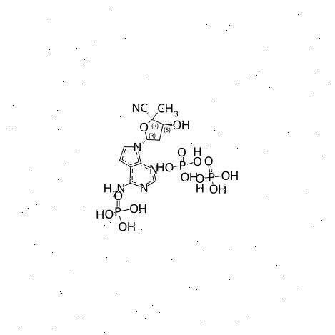 C[C@]1(C#N)O[C@@H](n2ccc3c(N)ncnc32)C[C@@H]1O.O=P(O)(O)O.O=P(O)(O)O.O=P(O)(O)O